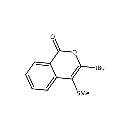 CSc1c(C(C)(C)C)oc(=O)c2ccccc12